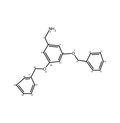 NCc1cc(OCc2ccccc2)cc(OCc2ccccc2)c1